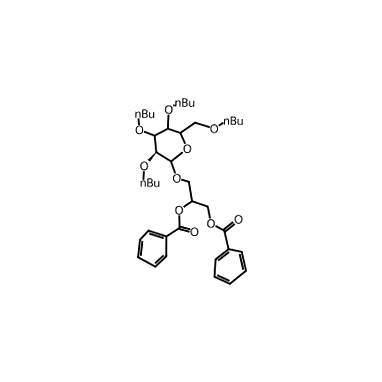 CCCCOCC1OC(OCC(COC(=O)c2ccccc2)OC(=O)c2ccccc2)[C@@H](OCCCC)C(OCCCC)C1OCCCC